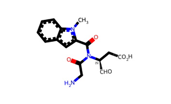 Cn1c(C(=O)N(C(=O)CN)[C@H](C=O)CC(=O)O)cc2ccccc21